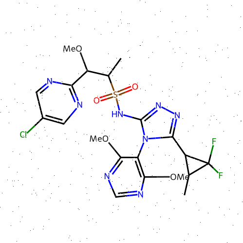 COc1ncnc(OC)c1-n1c(NS(=O)(=O)C(C)C(OC)c2ncc(Cl)cn2)nnc1C1C(C)C1(F)F